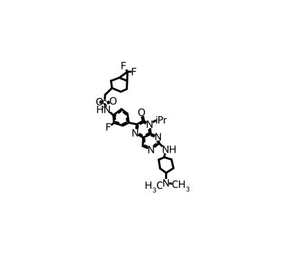 CC(C)n1c(=O)c(-c2ccc(NS(=O)(=O)CC3CCC4C(C3)C4(F)F)c(F)c2)nc2cnc(NC3CCC(N(C)C)CC3)nc21